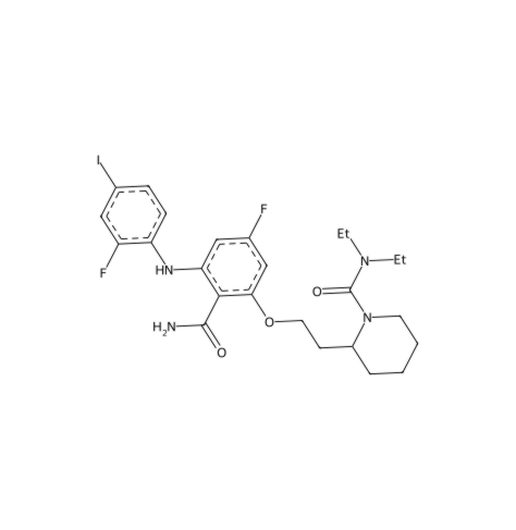 CCN(CC)C(=O)N1CCCCC1CCOc1cc(F)cc(Nc2ccc(I)cc2F)c1C(N)=O